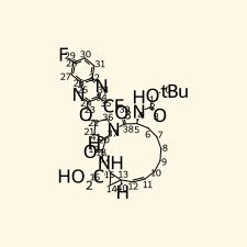 CC(C)(C)OC(=O)N[C@H]1CCCCCC=C[C@@H]2C[C@@]2(C(=O)O)NC(=O)[C@@H]2C[C@@H](Oc3nc4cc(F)ccc4nc3C(F)(F)F)CN2C1=O